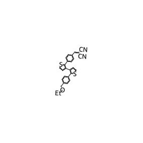 CCOCc1ccc(-c2sccc2-c2ccsc2-c2ccc(C=C(C#N)C#N)cc2)cc1